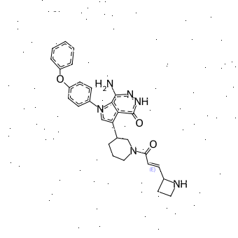 Nc1n[nH]c(=O)c2c(C3CCCN(C(=O)/C=C/C4CCN4)C3)cn(-c3ccc(Oc4ccccc4)cc3)c12